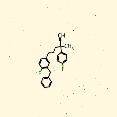 C#CC(C)(CCCc1ccc(F)c(Cc2ccccc2)c1)c1ccc(F)cc1